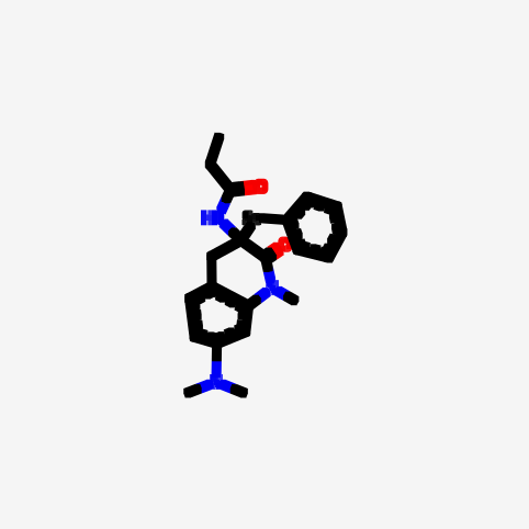 CCC(=O)NC1([Se]c2ccccc2)Cc2ccc(N(C)C)cc2N(C)C1=O